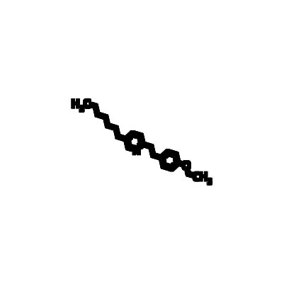 CCCCCCCc1ccc(CCc2ccc(OCC)cc2)nc1